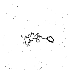 C[C@@H](C[CH]C(=O)N(C)CCc1ccccc1)C(N)=O